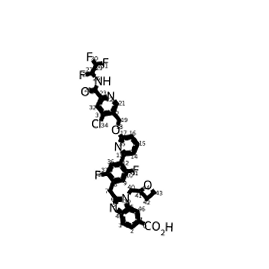 O=C(O)c1ccc2nc(Cc3cc(F)c(-c4cccc(OCc5cnc(C(=O)NC(F)C(F)F)cc5Cl)n4)cc3F)n(CC3CCO3)c2c1